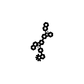 CC1(C)c2cccc(-c3ccc(-n4c5ccc(-c6ccc7c(c6)c6ccccc6n7-c6ccc7ccccc7c6)cc5c5ccc6ccccc6c54)cc3)c2C(C)(C)C1(C)C